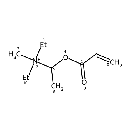 C=CC(=O)OC(C)[N+](C)(CC)CC